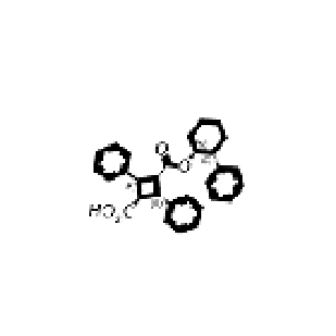 O=C(O)[C@H]1[C@@H](c2ccccc2)[C@H](C(=O)O[C@H]2CCCC[C@@H]2c2ccccc2)[C@@H]1c1ccccc1